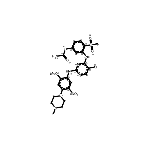 COc1cc(N2CCN(C)CC2)c([N+](=O)[O-])cc1Nc1ncc(Cl)c(Nc2cc(OC(N)=O)ccc2S(C)(=O)=O)n1